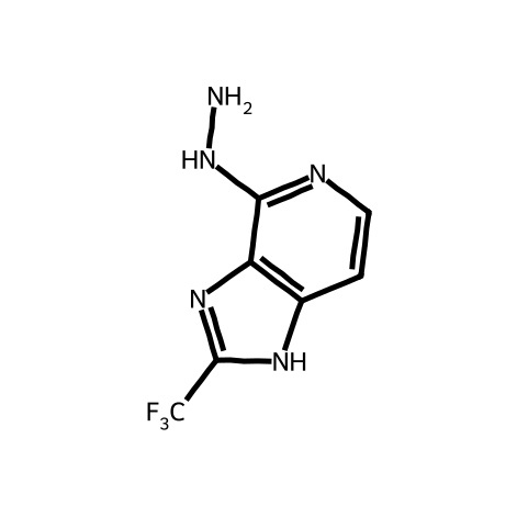 NNc1nccc2[nH]c(C(F)(F)F)nc12